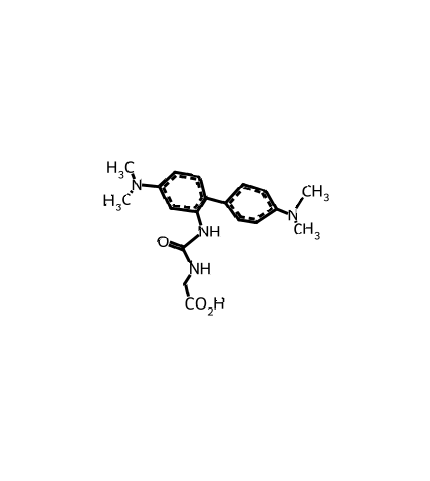 CN(C)c1ccc(-c2ccc(N(C)C)cc2NC(=O)NCC(=O)O)cc1